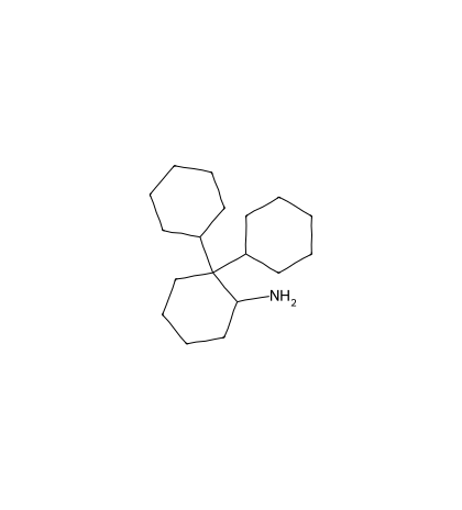 NC1CCCCC1(C1CCCCC1)C1CCCCC1